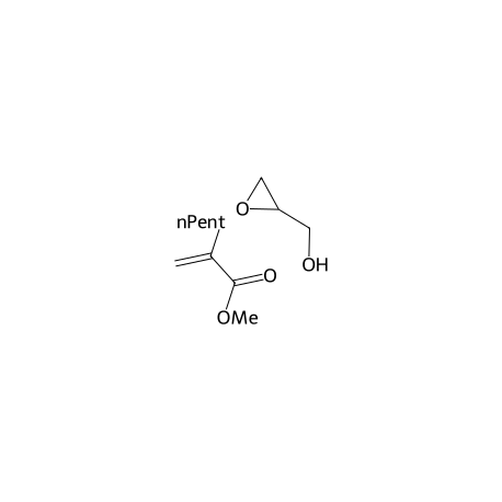 C=C(CCCCC)C(=O)OC.OCC1CO1